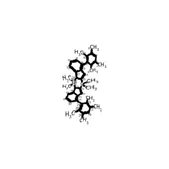 Cc1cc(C)c(C)c(-c2cccc3c2C=C2[CH]3[Hf]([CH3])([CH3])[CH]3C(=Cc4c(-c5c(C)c(C)cc(C)c5C)cccc43)[Si]2(C)C)c1C